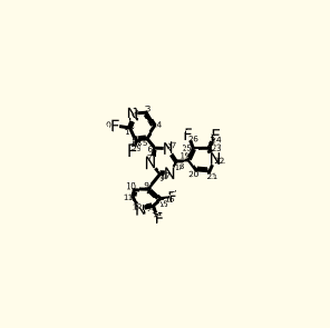 Fc1nccc(-c2nc(-c3ccnc(F)c3F)nc(-c3ccnc(F)c3F)n2)c1F